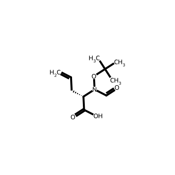 C=CC[C@@H](C(=O)O)N(C=O)OC(C)(C)C